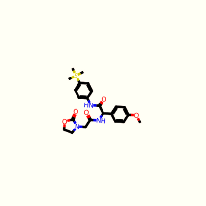 COc1ccc(C(NC(=O)CN2CCOC2=O)C(=O)Nc2ccc(S(C)(C)C)cc2)cc1